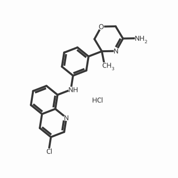 CC1(c2cccc(Nc3cccc4cc(Cl)cnc34)c2)COCC(N)=N1.Cl